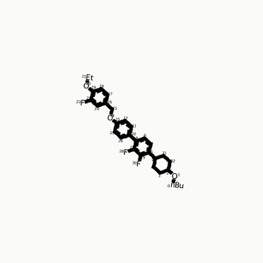 CCCCOC1CCC(c2ccc(-c3ccc(OCc4ccc(OCC)c(F)c4)cc3)c(F)c2F)CC1